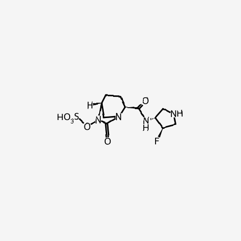 O=C(N[C@@H]1CNC[C@H]1F)[C@@H]1CC[C@@H]2CN1C(=O)N2OS(=O)(=O)O